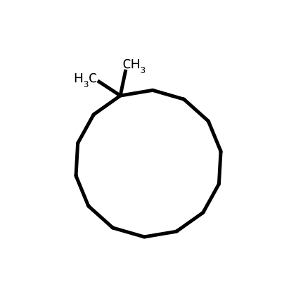 CC1(C)CCCCCCCCCCCCC1